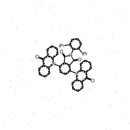 CC(C)c1cccc(C(C)C)c1N1C(=O)c2c(-n3c4ccccc4c(=O)c4ccccc43)ccc(-n3c4ccccc4c(=O)c4ccccc43)c2C1=O